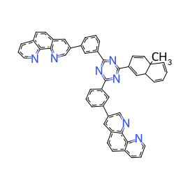 CC12C=CC=CC1C=C(c1nc(-c3cccc(-c4cnc5c(ccc6cccnc65)c4)c3)nc(-c3cccc(-c4cnc5c(ccc6cccnc65)c4)c3)n1)C=C2